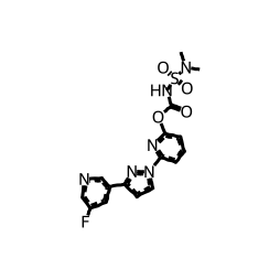 CN(C)S(=O)(=O)NC(=O)Oc1cccc(-n2ccc(-c3cncc(F)c3)n2)n1